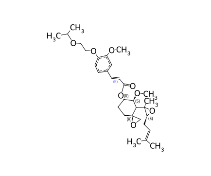 COc1cc(/C=C/C(=O)O[C@@H]2CC[C@]3(CO3)C(C3(C)O[C@H]3CC=C(C)C)[C@@H]2OC)ccc1OCCOC(C)C